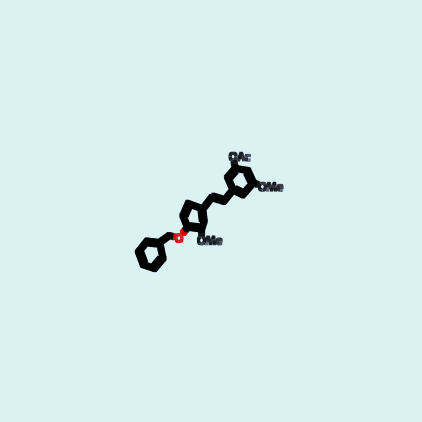 COc1cc(C=Cc2ccc(OCc3ccccc3)c(OC)c2)cc(OC(C)=O)c1